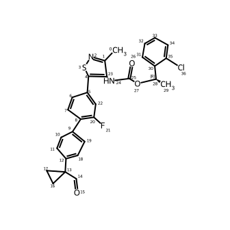 Cc1nsc(-c2ccc(-c3ccc(C4(C=O)CC4)cc3)c(F)c2)c1NC(=O)O[C@H](C)c1ccccc1Cl